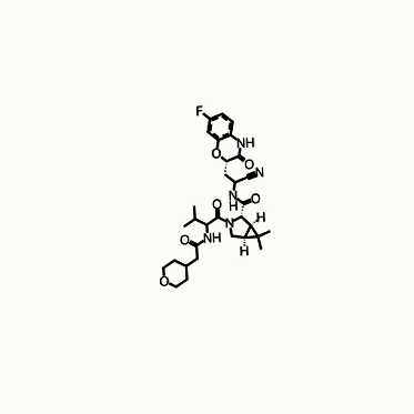 CC(C)C(NC(=O)CC1CCOCC1)C(=O)N1C[C@H]2[C@@H]([C@H]1C(=O)NC(C#N)C[C@@H]1Oc3cc(F)ccc3NC1=O)C2(C)C